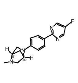 CN1C[C@@H]2C[C@H]1CN2c1ccc(-c2ncc(F)cn2)cc1